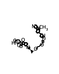 Cn1c2ccncc2c2ccc(-c3ccc(O[C@H]4C[C@H](OCCCCOC[C@@H]5C[C@H]5C5CN(c6ccc7c(c6)C(=O)N(C6CCC(=O)NC6=O)C7=O)C5)C4)nc3)cc21